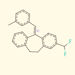 Cc1cccc(/C=C2\c3ccccc3CCc3cc(C(F)F)ccc32)c1